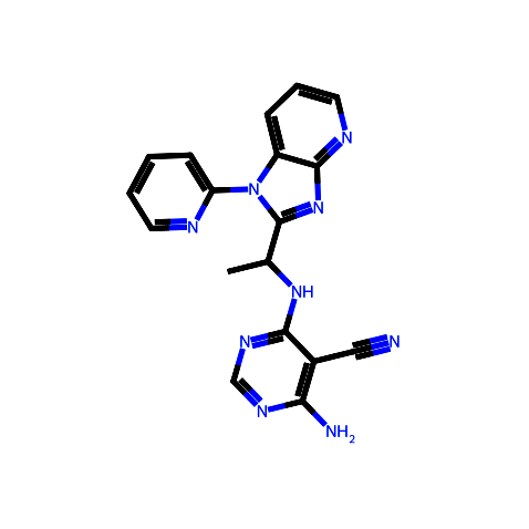 CC(Nc1ncnc(N)c1C#N)c1nc2ncccc2n1-c1ccccn1